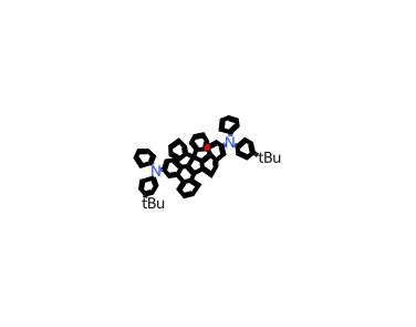 CC(C)(C)c1ccc(N(c2ccccc2)c2ccc3c4c(ccc3c2)-c2c(c3ccc(N(c5ccccc5)c5ccc(C(C)(C)C)cc5)cc3c3ccccc23)C4(c2ccccc2)c2ccccc2)cc1